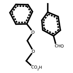 Cc1ccc(C=O)cc1.O=C(O)COCOc1ccccc1